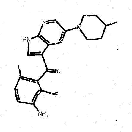 CC1CCN(c2cnc3[nH]cc(C(=O)c4c(F)ccc(N)c4F)c3c2)CC1